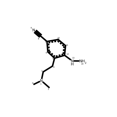 CN(C)CCc1cc(C#N)ccc1NN